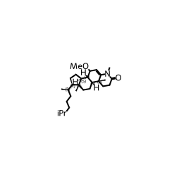 COC1C=C2N(C)C(=O)CC[C@]2(C)[C@H]2CC[C@]3(C)[C@@H]([C@H](C)CCCC(C)C)CC[C@H]3[C@H]12